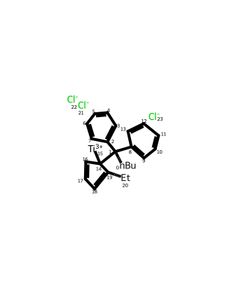 CCCCC(c1ccccc1)(c1ccccc1)[C]1([Ti+3])C=CC=C1CC.[Cl-].[Cl-].[Cl-]